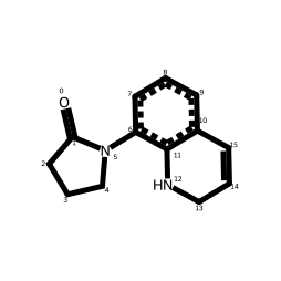 O=C1CCCN1c1cccc2c1NCC=C2